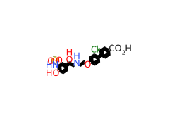 CS(=O)(=O)Nc1cc([C@@H](O)CNCCOc2ccc(-c3ccc(C(=O)O)cc3Cl)cc2)ccc1O